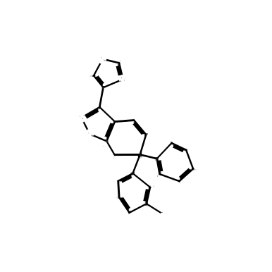 Fc1cccc(C2(c3ccccc3)C=Cc3c(-c4c[nH]cn4)n[nH]c3C2)c1